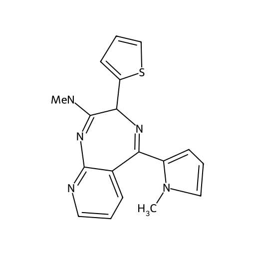 CNC1=Nc2ncccc2C(c2cccn2C)=NC1c1cccs1